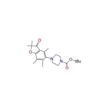 Cc1c(C)c(N2CCN(C(=O)OC(C)(C)C)CC2)c(C)c2c1OC(C)(C)C2=O